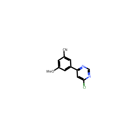 COc1cc(C#N)cc(-c2cc(Cl)ncn2)c1